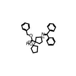 O=C(OCc1ccccc1)[C@@]1(C2(O)CCCC2)CC[C@@H](N=C(c2ccccc2)c2ccccc2)C1